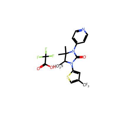 CC1(C)C(S(=O)(=O)O)N(c2cc(C(F)(F)F)cs2)C(=O)N1c1ccncc1.O=C(O)C(F)(F)F